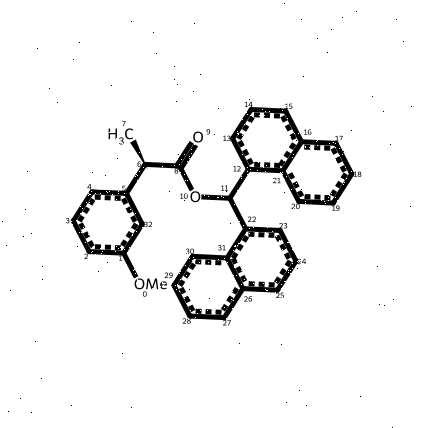 COc1cccc([C@@H](C)C(=O)OC(c2cccc3ccccc23)c2cccc3ccccc23)c1